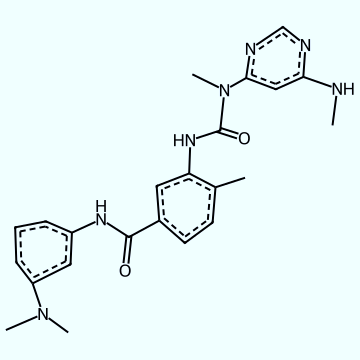 CNc1cc(N(C)C(=O)Nc2cc(C(=O)Nc3cccc(N(C)C)c3)ccc2C)ncn1